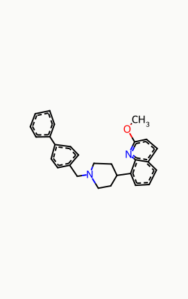 COc1ccc2cccc(C3CCN(Cc4ccc(-c5ccccc5)cc4)CC3)c2n1